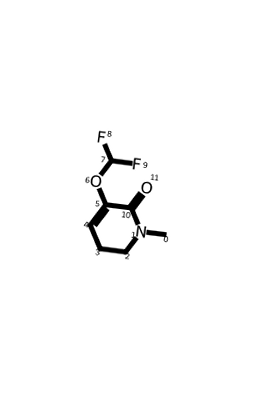 CN1CCC=C(OC(F)F)C1=O